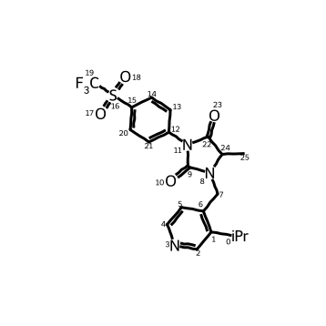 CC(C)c1cnccc1CN1C(=O)N(c2ccc(S(=O)(=O)C(F)(F)F)cc2)C(=O)C1C